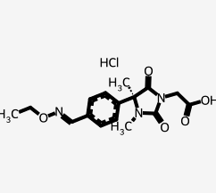 CCON=Cc1ccc([C@@]2(C)C(=O)N(CC(=O)O)C(=O)N2C)cc1.Cl